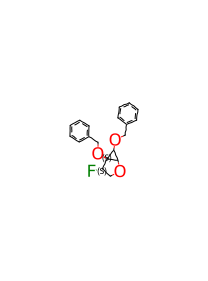 F[C@H]1COC2C(OCc3ccccc3)[C@]21OCc1ccccc1